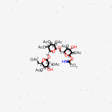 CC(=O)OC[C@H]1O[C@@H](OC[C@H]2O[C@@H](OC[C@H]3OC(OC(=N)C(Cl)(Cl)Cl)[C@H](OC(C)=O)[C@@H](O)[C@@H]3OC(C)=O)[C@H](OC(C)=O)[C@@H](OC(C)=O)[C@@H]2OC(C)=O)[C@H](OC(C)=O)[C@@H](O)[C@@H]1OC(C)=O